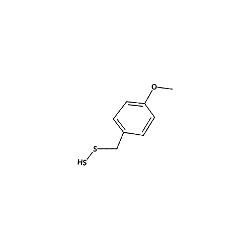 COc1ccc(CSS)cc1